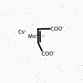 O=C([O-])/C=C\C(=O)[O-].[Cs+].[Mo+4]